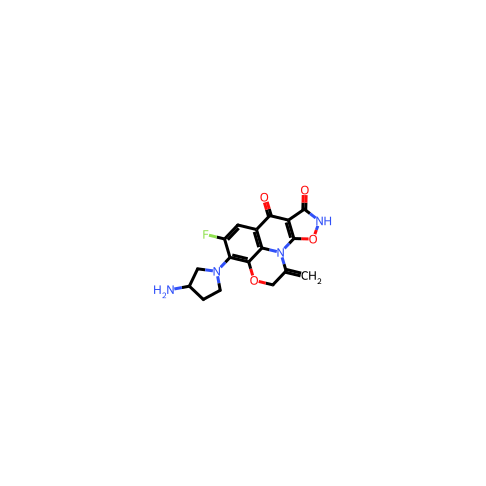 C=C1COc2c(N3CCC(N)C3)c(F)cc3c(=O)c4c(=O)[nH]oc4n1c23